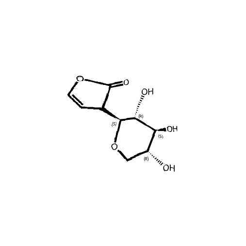 O=C1OC=CC1[C@@H]1OC[C@@H](O)[C@H](O)[C@H]1O